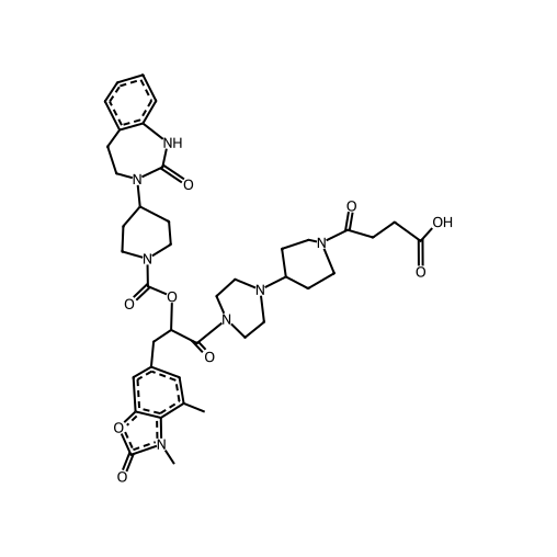 Cc1cc(CC(OC(=O)N2CCC(N3CCc4ccccc4NC3=O)CC2)C(=O)N2CCN(C3CCN(C(=O)CCC(=O)O)CC3)CC2)cc2oc(=O)n(C)c12